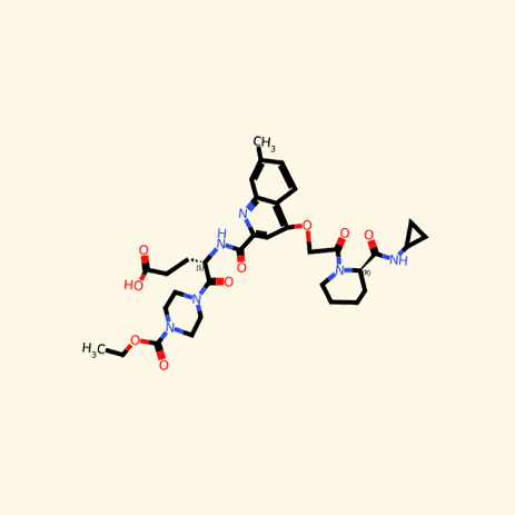 CCOC(=O)N1CCN(C(=O)[C@H](CCC(=O)O)NC(=O)c2cc(OCC(=O)N3CCCC[C@@H]3C(=O)NC3CC3)c3ccc(C)cc3n2)CC1